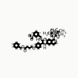 CC(C)(C)OC(=O)N(OC(C)(C)C)c1nccc2cc(NC(C(=O)NCc3cccc([N+](=O)[O-])c3)c3ccc(OCCCC(=O)OCc4ccccc4)cc3)ccc12